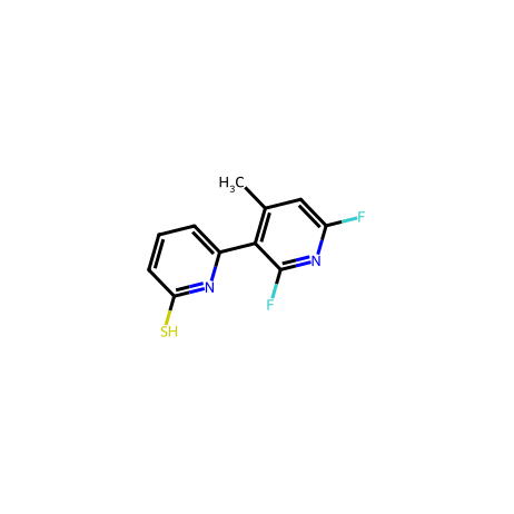 Cc1cc(F)nc(F)c1-c1cccc(S)n1